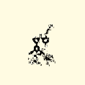 COCCOc1ncc(Cl)cc1Nc1nccc(-c2cc(C#N)c3c(c2)C(C)(CO[Si](C)(C)C(C)(C)C)CN3C(=O)OC(C)(C)C)n1